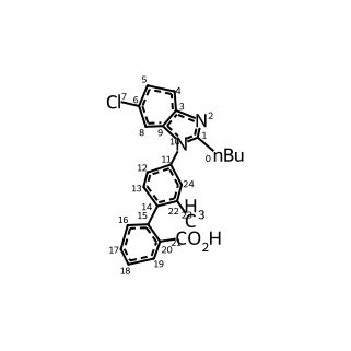 CCCCc1nc2ccc(Cl)cc2n1-c1ccc(-c2ccccc2C(=O)O)c(C)c1